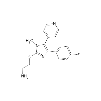 Cn1c(SCCN)nc(-c2ccc(F)cc2)c1-c1ccncc1